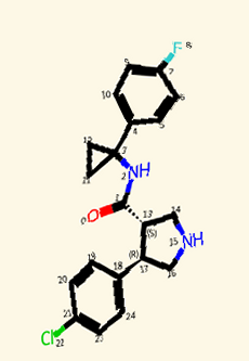 O=C(NC1(c2ccc(F)cc2)CC1)[C@@H]1CNC[C@H]1c1ccc(Cl)cc1